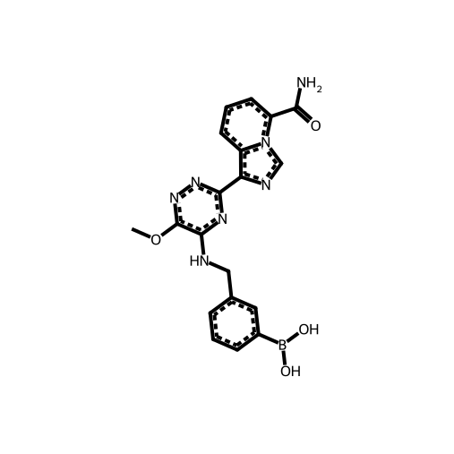 COc1nnc(-c2ncn3c(C(N)=O)cccc23)nc1NCc1cccc(B(O)O)c1